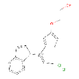 C[CH]=[Zr+2]([C]1=CC(OCCO)=CC1)[CH]1C=Cc2ccccc21.[Cl-].[Cl-]